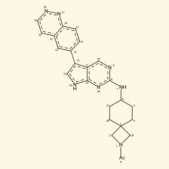 CC(=O)N1CC2(CCC(Nc3ncc4c(-c5ccc6nnccc6c5)c[nH]c4n3)CC2)C1